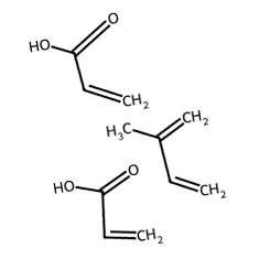 C=CC(=C)C.C=CC(=O)O.C=CC(=O)O